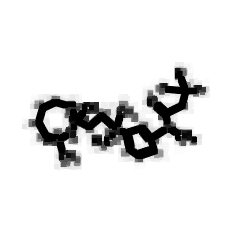 CN(C(=O)CC(F)(F)F)c1cccc([Si](C)(C)CC[Si]2(C)OCCCC[SiH](C)O2)c1